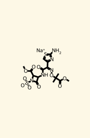 COC(=O)C1C(NC(=O)C(=NOC(C)(C)C(=O)OC)c2csc(N)n2)C(=O)N1S(=O)(=O)[O-].[Na+]